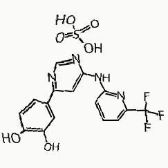 O=S(=O)(O)O.Oc1ccc(-c2cc(Nc3cccc(C(F)(F)F)n3)ncn2)cc1O